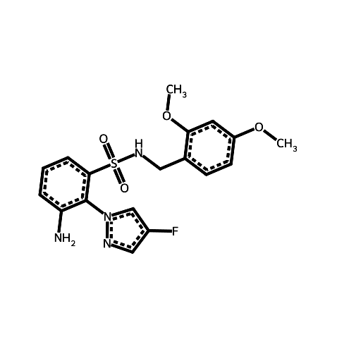 COc1ccc(CNS(=O)(=O)c2cccc(N)c2-n2cc(F)cn2)c(OC)c1